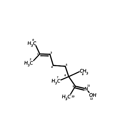 CC(C)=CCCC(C)(C)C(C)=NO